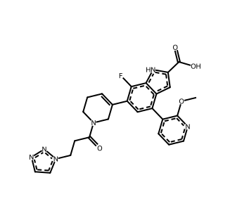 COc1ncccc1-c1cc(C2=CCCN(C(=O)CCn3ccnn3)C2)c(F)c2[nH]c(C(=O)O)cc12